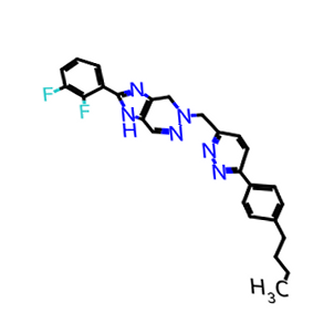 CCCCc1ccc(-c2ccc(CN3Cc4nc(-c5cccc(F)c5F)[nH]c4C=N3)nn2)cc1